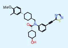 COc1ccc([C@H]2CC[C@H](CN(c3cccc(C#Cc4ncns4)c3)C(=O)[C@H]3CC[C@H](O)CC3)CC2)cc1C